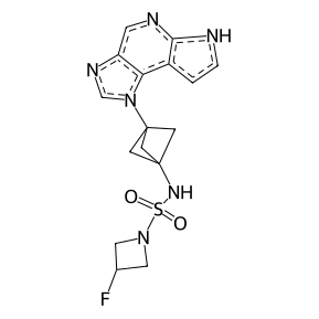 O=S(=O)(NC12CC(n3cnc4cnc5[nH]ccc5c43)(C1)C2)N1CC(F)C1